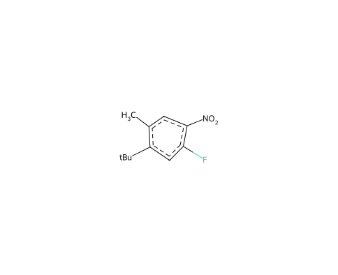 Cc1cc([N+](=O)[O-])c(F)cc1C(C)(C)C